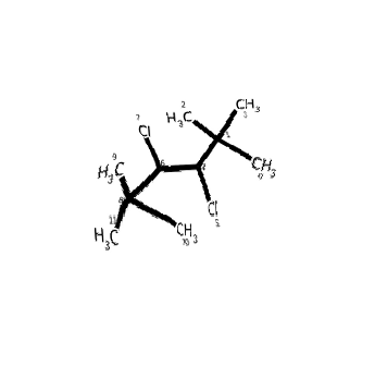 CC(C)(C)C(Cl)C(Cl)C(C)(C)C